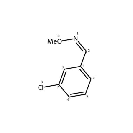 CO/N=[C]\c1cccc(Cl)c1